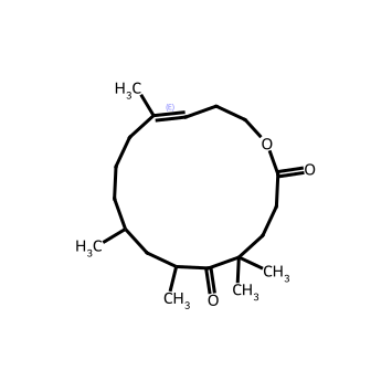 C/C1=C\CCOC(=O)CCC(C)(C)C(=O)C(C)CC(C)CCC1